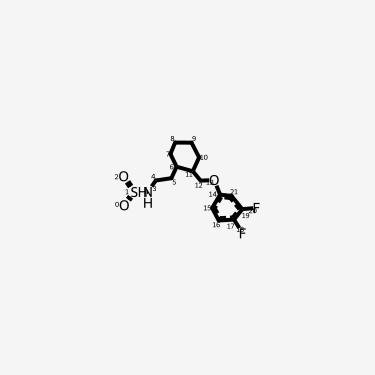 O=[SH](=O)NCCC1CCCCC1COc1ccc(F)c(F)c1